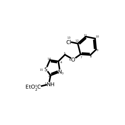 CCOC(=O)Nc1nc(COc2ccccc2Cl)cs1